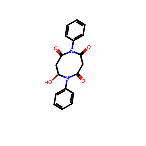 O=C1CC(=O)N(c2ccccc2)C(O)CC(=O)N1c1ccccc1